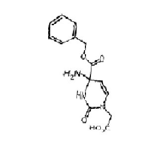 NC1(C(=O)OCc2ccccc2)C=CN(CC(=O)O)C(=O)N1